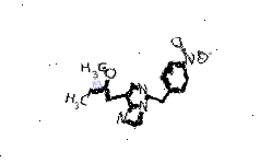 C/C=C(\Cc1cnc(Cc2ccc([N+](=O)[O-])cc2)n2ccnc12)OC